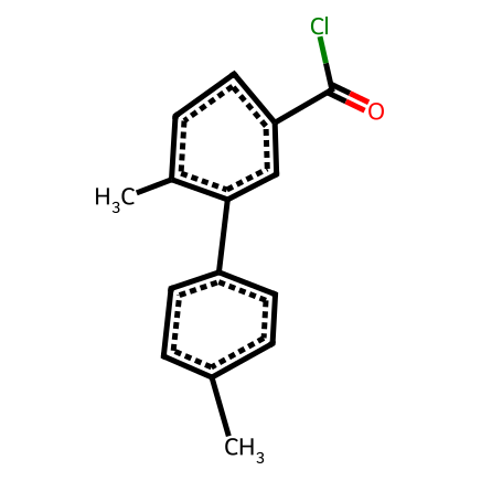 Cc1ccc(-c2cc(C(=O)Cl)ccc2C)cc1